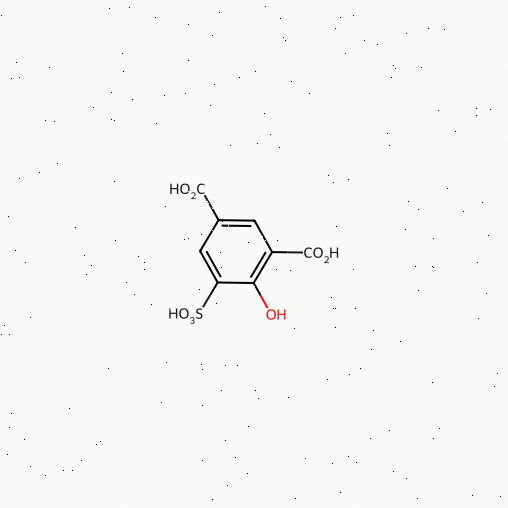 O=C(O)c1cc(C(=O)O)c(O)c(S(=O)(=O)O)c1